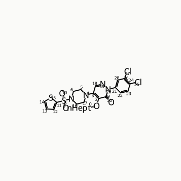 CCCCCCCOc1c(N2CCN(S(=O)(=O)c3cccs3)CC2)cnn(-c2ccc(Cl)c(Cl)c2)c1=O